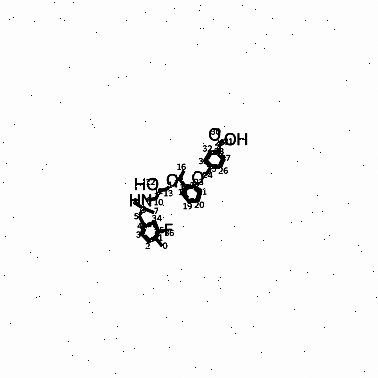 Cc1ccc(CC(C)(C)NC[C@H](O)COC(C)c2ccccc2OCc2ccc(C(=O)O)cc2)cc1F